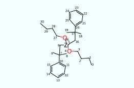 CCCC[O][Zr]([CH2]C(C)(C)c1ccccc1)([CH2]C(C)(C)c1ccccc1)[O]CCCC